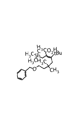 CC(C)(CCOCc1ccccc1)CC(=C([CH2][Sn]([CH3])([CH3])[CH3])C(=O)O)C(C)(C)C